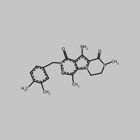 Cc1ccc(Cn2nc(C)c3c(c(N)c4n3CCN(C)C4=O)c2=O)cc1C